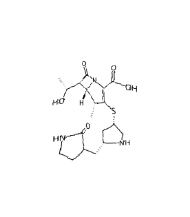 C[C@@H](O)[C@H]1C(=O)N2C(C(=O)O)=C(S[C@@H]3CN[C@H](CC4CCNC4=O)C3)[C@H](C)[C@H]12